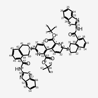 CC(C)(C)OC(=O)c1nc(N2CCc3cccc(C(=O)Nc4nc5ccccc5s4)c3C2)ccc1-c1ccc(N2CCc3cccc(C(=O)Nc4nc5ccccc5s4)c3C2)nc1C(=O)OC(C)(C)C